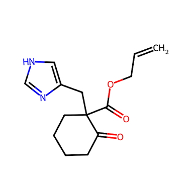 C=CCOC(=O)C1(Cc2c[nH]cn2)CCCCC1=O